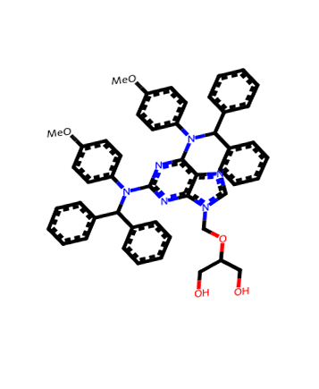 COc1ccc(N(c2nc(N(c3ccc(OC)cc3)C(c3ccccc3)c3ccccc3)c3ncn(COC(CO)CO)c3n2)C(c2ccccc2)c2ccccc2)cc1